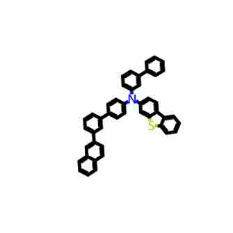 c1ccc(-c2cccc(N(c3ccc(-c4cccc(-c5ccc6ccccc6c5)c4)cc3)c3ccc4c(c3)sc3ccccc34)c2)cc1